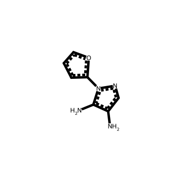 Nc1cnn(-c2ccco2)c1N